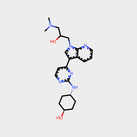 CN(C)CC(O)Cn1cc(-c2ccnc(N[C@H]3CC[C@H](O)CC3)n2)c2cccnc21